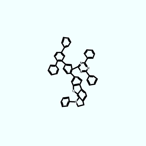 c1ccc(-c2ccc(-c3ccccc3)c(-c3ccc(-c4ccc5c(c4)oc4c6c(ccc45)CCN6c4ccccc4)c(-c4nc(-c5ccccc5)nc(-c5ccccc5)n4)c3)c2)cc1